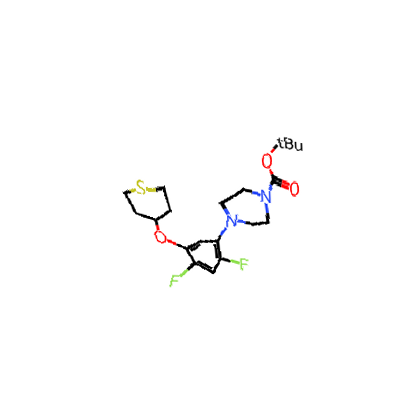 CC(C)(C)OC(=O)N1CCN(c2cc(OC3CCSCC3)c(F)cc2F)CC1